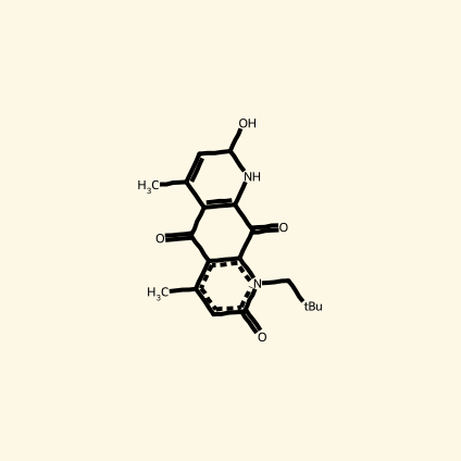 CC1=CC(O)NC2=C1C(=O)c1c(C)cc(=O)n(CC(C)(C)C)c1C2=O